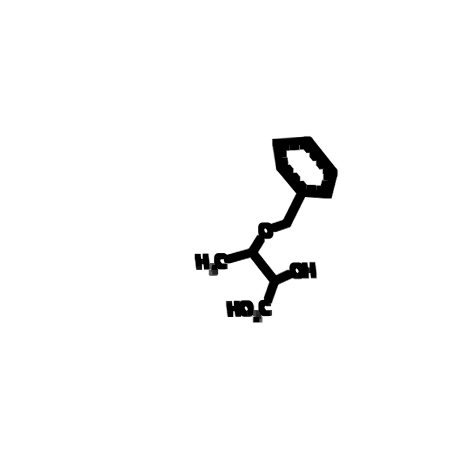 CC(OCc1ccccc1)C(O)C(=O)O